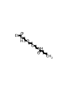 C=CCCC(=O)NCCOCCOCCNC(=O)CC